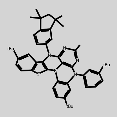 Cc1nc2c3c(n1)N(c1ccc4c(c1)C(C)(C)CC4(C)C)c1c(sc4ccc(C(C)(C)C)cc14)B3c1ccc(C(C)(C)C)cc1N2c1cccc(C(C)(C)C)c1